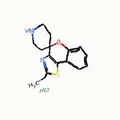 Cc1nc2c(s1)-c1ccccc1OC21CCNCC1.Cl